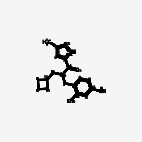 Cc1cc(C(=O)N(Cc2ccc(O)cc2Cl)CC2CCC2)[nH]n1